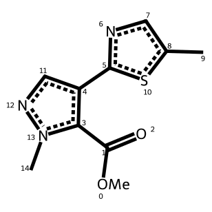 COC(=O)c1c(-c2ncc(C)s2)cnn1C